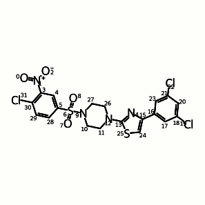 O=[N+]([O-])c1cc(S(=O)(=O)N2CCN(c3nc(-c4cc(Cl)cc(Cl)c4)cs3)CC2)ccc1Cl